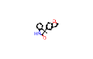 CC1(c2ccc3occc3c2)C(=O)Nc2ccccc21